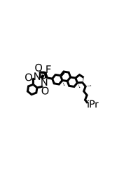 CC(C)CCC[C@@H](C)[C@H]1CCC2C3CC=C4CC(c5c(F)c(=O)n6c(=O)n5C(=O)C5CCCCC5C6=O)CC[C@]4(C)C3CC[C@@]21C